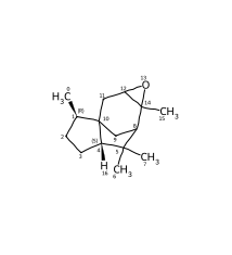 C[C@@H]1CC[C@H]2C(C)(C)C3CC12CC1OC13C